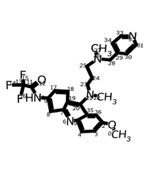 COc1ccc2nc3cc(NC(=O)C(F)(F)F)ccc3c(N(C)CCCN(C)Cc3ccncc3)c2c1